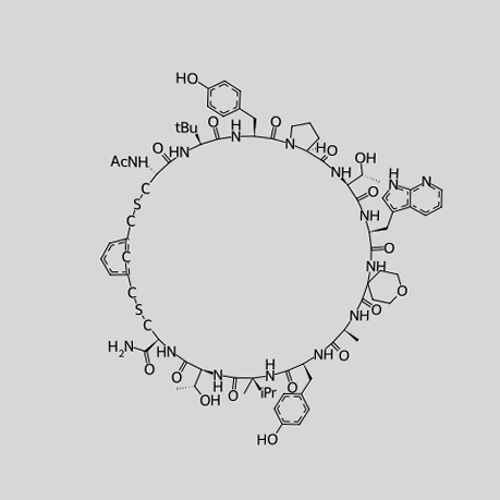 CC(=O)N[C@H]1CSCc2cccc(c2)CSC[C@H](C(N)=O)NC(=O)[C@H]([C@@H](C)O)NC(=O)[C@](C)(C(C)C)NC(=O)[C@H](Cc2ccc(O)cc2)NC(=O)[C@H](C)NC(=O)C2(CCOCC2)NC(=O)[C@H](Cc2c[nH]c3ncccc23)NC(=O)[C@H]([C@@H](C)O)NC(=O)[C@@H]2CCCN2C(=O)[C@H](Cc2ccc(O)cc2)NC(=O)[C@H](C(C)(C)C)NC1=O